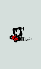 C1=Cc2cc3c(-c4ccccc4)c(-c4ccccc4)c(c(-c4ccccc4)c4nc(cc5ccc(cc1n2)[nH]5)C=C4)n3-c1ccccc1.[Cl-].[Cl-].[Cl-].[Ga+3]